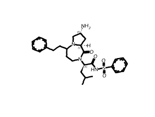 CC(C)C[C@H](C(=O)NS(=O)(=O)c1ccccc1)N1CCC(CCc2ccccc2)N2C[C@H](N)C[C@H]2C1=O